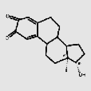 C[C@]12CCC3C4=CC(=O)C(=O)C=C4CCC3C1CC[C@@H]2O